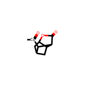 [CH3][Co](=[O])[CH]1C2CC3OC(=O)C1C3C2